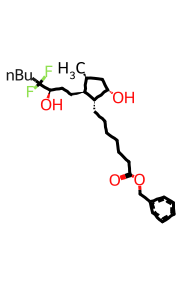 CCCCC(F)(F)[C@H](O)CC[C@@H]1[C@@H](CCCCCCC(=O)OCc2ccccc2)[C@@H](O)C[C@H]1C